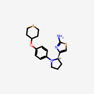 Nc1nc([C@H]2CCCN2c2ccc(OC3CCSCC3)cc2)cs1